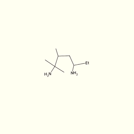 CCC(N)CC(C)C(C)(C)N